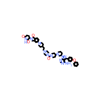 Nc1ncnc2c1c(-c1ccc(Oc3ccccc3)cc1)nn2C1CCCN(C2CCN(C(=O)N3CCN(CCC4CCN(c5ccc6c(c5)CN(C5CCC(=O)NC5=O)C6=O)CC4)CC3)CC2)C1